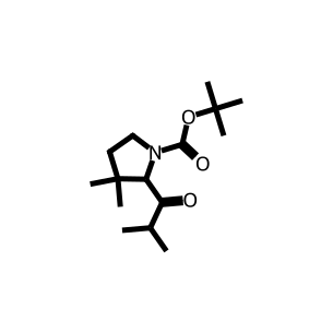 CC(C)C(=O)C1N(C(=O)OC(C)(C)C)CCC1(C)C